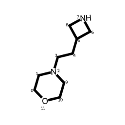 C1CN(CCC2CNC2)CCO1